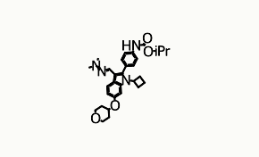 CC(C)OC(=O)Nc1ccc(-c2c(C=NN(C)C)c3ccc(OC4CCOCC4)cc3n2C2CCC2)cc1